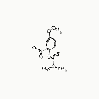 COc1ccc(OC(=S)N(C)C)c([N+](=O)[O-])c1